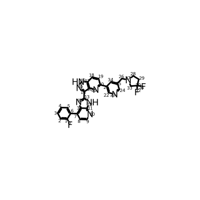 Fc1ccccc1-c1ccnc2[nH]c(-c3n[nH]c4ccc(-c5cncc(CN6CCC(F)(F)C6)c5)nc34)nc12